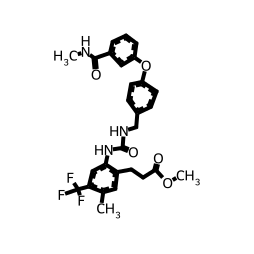 CNC(=O)c1cccc(Oc2ccc(CNC(=O)Nc3cc(C(F)(F)F)c(C)cc3CCC(=O)OC)cc2)c1